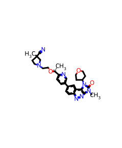 C[C@@H](OCCN1CCC(C)(C#N)C1)c1ccc(-c2ccc3nnc4c(c3c2)n(C2CCOCC2)c(=O)n4C)cn1